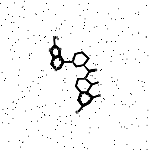 CC1c2c(Cl)cc(Cl)cc2CCN1C(=O)[C@@H]1CCCN(c2cncc3nc(N)oc23)C1